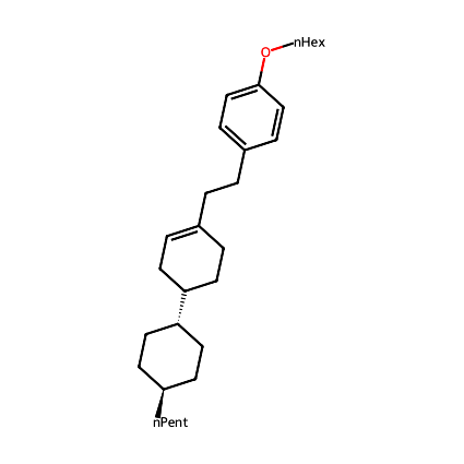 CCCCCCOc1ccc(CCC2=CCC([C@H]3CC[C@H](CCCCC)CC3)CC2)cc1